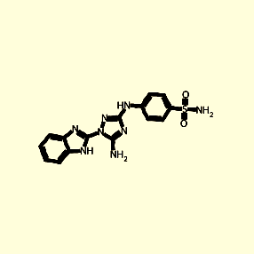 Nc1nc(Nc2ccc(S(N)(=O)=O)cc2)nn1-c1nc2ccccc2[nH]1